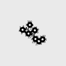 c1ccc(-n2c3ccccc3c3ccc4c(c5ccccc5n4-c4ccc5ccc6ccccc6c5c4)c32)cc1